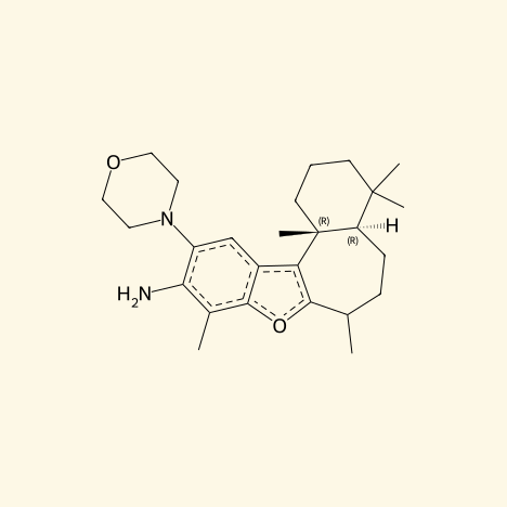 Cc1c(N)c(N2CCOCC2)cc2c3c(oc12)C(C)CC[C@@H]1C(C)(C)CCC[C@@]31C